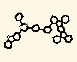 C1=CCC(c2nc(C3=CCC(C4=CCCC(C5=CCCC6=C5c5cc7c(cc5C65CCCCC5)-c5ccccc5C75CCCCC5)=C4)C=C3)cc(C3=CCC4C(=C3)Oc3ccccc34)n2)C=C1